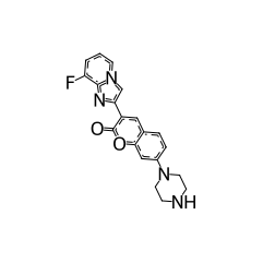 O=c1oc2cc(N3CCNCC3)ccc2cc1-c1cn2cccc(F)c2n1